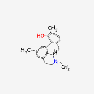 CCN1CCc2cc(C)cc3c2[C@H]1Cc1ccc(C)c(O)c1-3